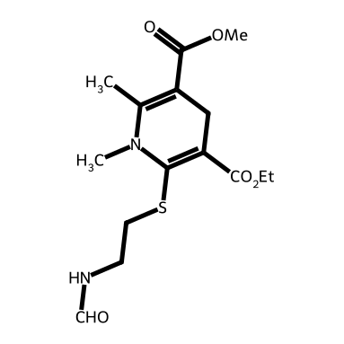 CCOC(=O)C1=C(SCCNC=O)N(C)C(C)=C(C(=O)OC)C1